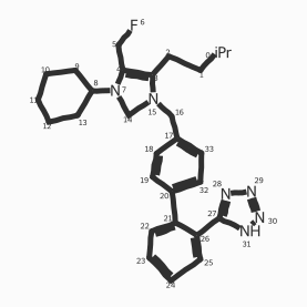 CC(C)CCC1=C(CF)N(C2CCCCC2)CN1Cc1ccc(-c2ccccc2-c2nnn[nH]2)cc1